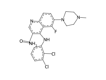 CN1CCN(c2ccc3ncc(C(N)=O)c(Nc4cccc(Cl)c4Cl)c3c2F)CC1